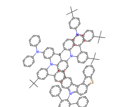 CC(C)(C)c1ccc(N(c2ccc(C(C)(C)C)cc2)c2ccc3c(c2)N(c2ccc(C(C)(C)C)cc2-c2ccccc2)c2cc(-c4ccc5c(c4)c4c6c(ccc4n5-c4c(-c5ccccc5)cccc4-c4ccccc4)sc4ccccc46)cc4c2B3c2ccc(N(c3ccccc3)c3ccccc3)cc2N4c2ccc(C(C)(C)C)cc2-c2ccccc2)cc1